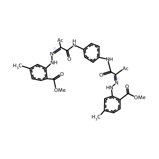 COC(=O)c1ccc(C)cc1N/N=C(/C(C)=O)C(=O)Nc1ccc(NC(=O)/C(=N\Nc2cc(C)ccc2C(=O)OC)C(C)=O)cc1